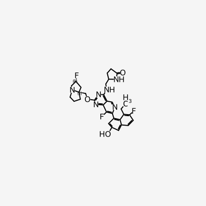 CCc1c(F)ccc2cc(O)cc(-c3ncc4c(NCC5CCC(=O)N5)nc(OC[C@@]56CCCN5C[C@H](F)C6)nc4c3F)c12